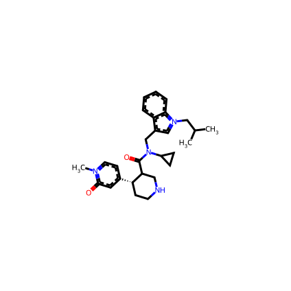 CC(C)Cn1cc(CN(C(=O)C2CNCC[C@@H]2c2ccn(C)c(=O)c2)C2CC2)c2ccccc21